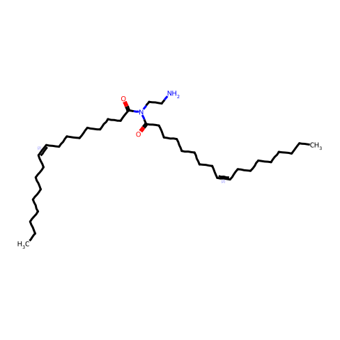 CCCCCCCC/C=C\CCCCCCCC(=O)N(CCN)C(=O)CCCCCCC/C=C\CCCCCCCC